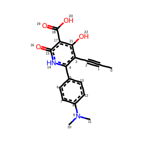 CC#Cc1c(-c2ccc(N(C)C)cc2)[nH]c(=O)c(C(=O)O)c1O